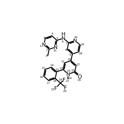 Cc1nccc(Nc2cc(-c3cc(-c4ccccc4C(F)(F)F)n(C)c(=O)c3)ccn2)n1